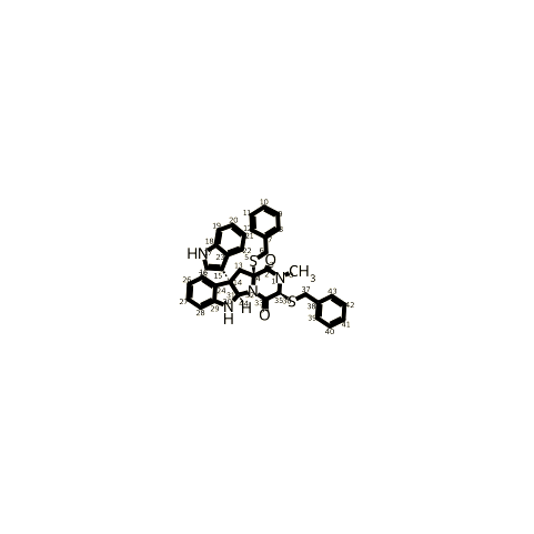 CN1C(=O)[C@@]2(SCc3ccccc3)C[C@]3(c4c[nH]c5ccccc45)c4ccccc4N[C@@H]3N2C(=O)[C@@H]1SCc1ccccc1